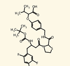 CC(C)C(Oc1ccc(CNC(=O)C2SCCN2C(=O)CC(Cc2cc(F)c(F)cc2F)NC(=O)OC(C)(C)C)cc1)C(=O)O